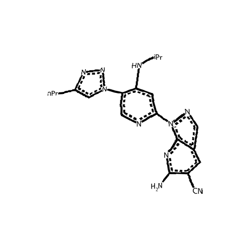 CCCc1cn(-c2cnc(-n3ncc4cc(C#N)c(N)nc43)cc2NC(C)C)nn1